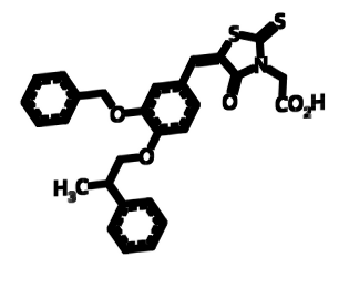 CC(COc1ccc(C=C2SC(=S)N(CC(=O)O)C2=O)cc1OCc1ccccc1)c1ccccc1